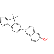 CC1(C)c2ccccc2-c2ccc(-c3ccc4cc(O)ccc4c3)cc21